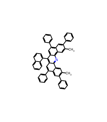 Cc1cc2c(cc1-c1ccccc1)c(-c1ccccc1)cc1c(-c3cccc4ccccc34)c3cc(-c4ccccc4)c4cc(-c5ccccc5)c(C)cc4c3nc12